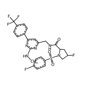 CNc1nc(CNC(=O)C2CC(F)CN2S(=O)(=O)c2ccc(F)cc2)cc(-c2ccc(C(F)(F)F)cc2)n1